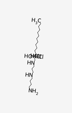 CCCCCCCCCCCCC(O)CNCCCNCCCCN.Cl.Cl.Cl